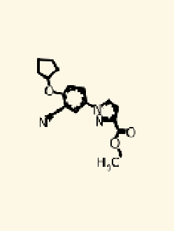 CCOC(=O)c1ccn(-c2ccc(OC3CCCC3)c(C#N)c2)n1